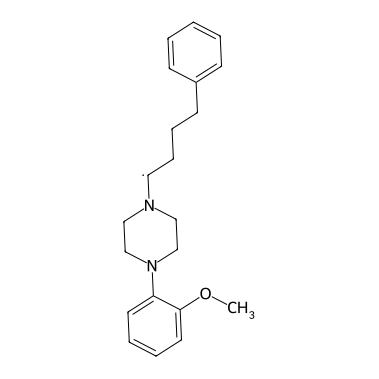 COc1ccccc1N1CCN([CH]CCCc2ccccc2)CC1